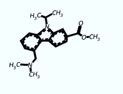 COC(=O)c1ccc2c3c(CN(C)C)cccc3n(C(C)C)c2c1